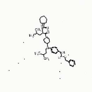 CC(C)CCN(c1ccc(NC(=O)OCc2ccccc2)cc1)C1CCN(C(=O)C(CC(C)C)NC(=O)N2CCCCCC2)CC1